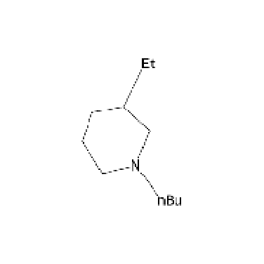 CCCCN1CCCC(CC)C1